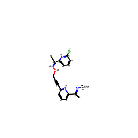 CON=C(C)c1cccc(C#CCON=C(C)c2cccc(Br)n2)n1